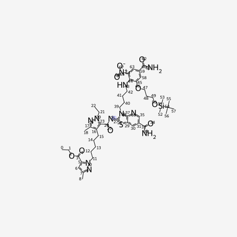 CCOC(=O)c1cc(C)nn1CCCCCc1c(C)nn(CC)c1C(=O)/N=c1\sc2cc(C(N)=O)cnc2n1CCCCNc1c(OCCCO[Si](C)(C)C(C)(C)C)cc(C(N)=O)cc1[N+](=O)[O-]